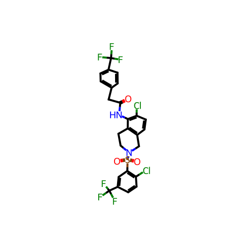 O=C(Cc1ccc(C(F)(F)F)cc1)Nc1c(Cl)ccc2c1CCN(S(=O)(=O)c1cc(C(F)(F)F)ccc1Cl)C2